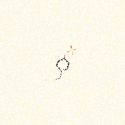 CCCCCCCCc1ccc(OP(=O)(O)O)cc1.[LiH]